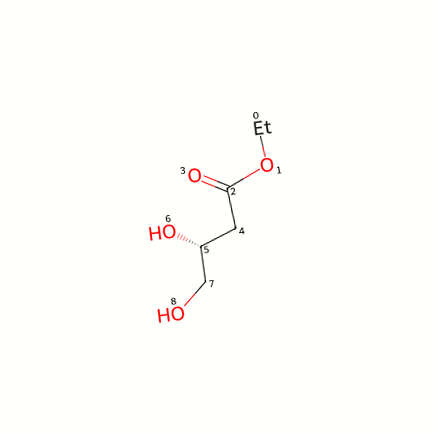 CCOC(=O)C[C@@H](O)CO